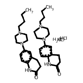 CCCCN1CCN(c2ccc3c(c2)CCC(=O)N3)CC1.CCCCN1CCN(c2ccc3c(c2)CCC(=O)N3)CC1.Cl.Cl.O